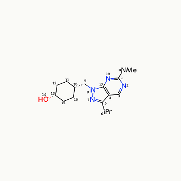 CNc1ncc2c(C(C)C)nn(C[C@H]3CC[C@@H](O)CC3)c2n1